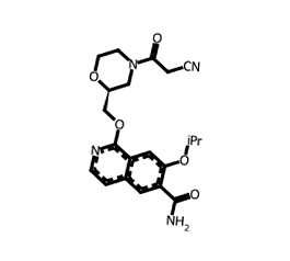 CC(C)Oc1cc2c(OC[C@@H]3CN(C(=O)CC#N)CCO3)nccc2cc1C(N)=O